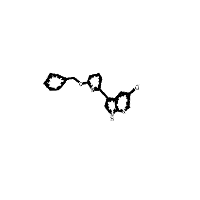 Clc1cnc2[nH]cc(-c3cccc(OCc4ccccc4)n3)c2c1